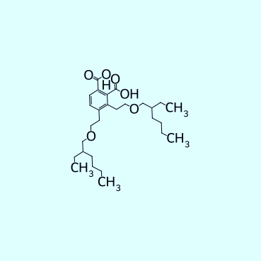 CCCCC(CC)COCCc1ccc(C(=O)O)c(C(=O)O)c1CCOCC(CC)CCCC